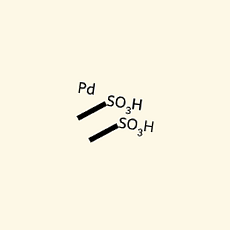 CS(=O)(=O)O.CS(=O)(=O)O.[Pd]